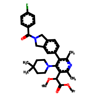 Cc1nc(C)c(C(OC(C)(C)C)C(=O)OC(C)C)c(N2CCC(C)(C)CC2)c1-c1ccc2c(c1)CN(C(=O)c1ccc(F)cc1)C2